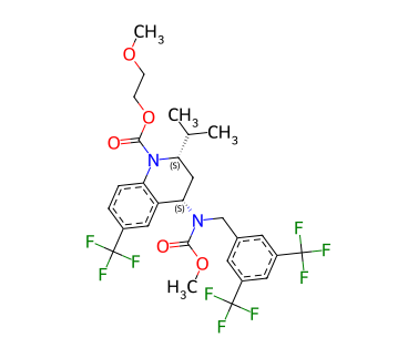 COCCOC(=O)N1c2ccc(C(F)(F)F)cc2[C@@H](N(Cc2cc(C(F)(F)F)cc(C(F)(F)F)c2)C(=O)OC)C[C@H]1C(C)C